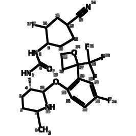 CC1CC[C@H](NC(=O)NC2CCC(C#N)CC2F)C(Oc2ccc(F)cc2C2(C(F)(F)F)CCO2)N1